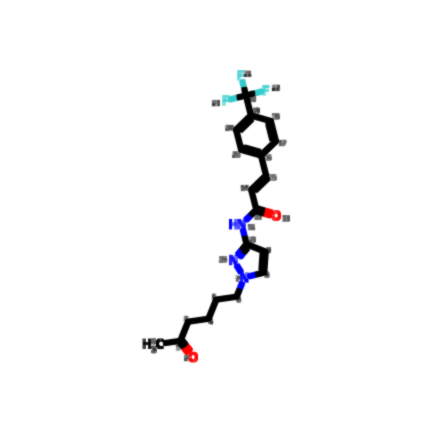 CC(=O)CCCCn1ccc(NC(=O)C=Cc2ccc(C(F)(F)F)cc2)n1